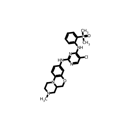 CN1CCN2c3ccc(Nc4ncc(Cl)c(Nc5ccccc5P(C)(C)=O)n4)cc3OCC2C1